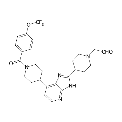 O=CCN1CCC(c2nc3c(C4CCN(C(=O)c5ccc(OC(F)(F)F)cc5)CC4)ccnc3[nH]2)CC1